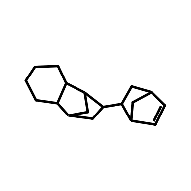 C1=CC2CC1CC2C1CC2CC1C1CCCCC21